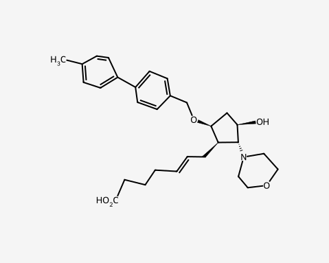 Cc1ccc(-c2ccc(CO[C@H]3C[C@@H](O)[C@H](N4CCOCC4)[C@H]3C/C=C/CCCC(=O)O)cc2)cc1